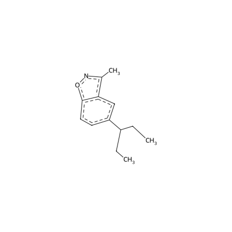 CCC(CC)c1ccc2onc(C)c2c1